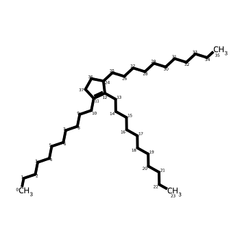 CCCCCCCCCCCC1=C(CCCCCCCCCCC)C(CCCCCCCCCCC)CC1